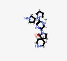 C[C@H]1CCC[N+]1(c1cnc(N2CCC3(CCNCC3)C2=O)cn1)[C@H]1CCNC1